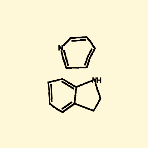 c1ccc2c(c1)CCN2.c1ccncc1